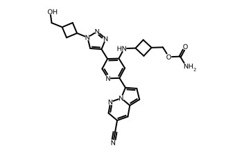 N#Cc1cnn2c(-c3cc(NC4CC(COC(N)=O)C4)c(-c4cn(C5CC(CO)C5)nn4)cn3)ccc2c1